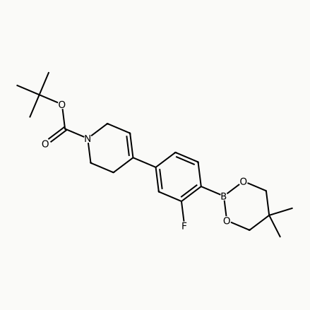 CC1(C)COB(c2ccc(C3=CCN(C(=O)OC(C)(C)C)CC3)cc2F)OC1